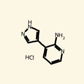 Cl.Nc1ncccc1-c1cn[nH]c1